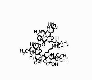 CC(C)C[C@H](NC(=O)[C@@H]1CCCN1C(=O)[C@H](CCCNC(=N)N)NC(=O)[C@H](Cc1c[nH]cn1)NC(=O)CN)C(=O)N[C@@H](CC(=O)O)C(=O)N[C@@H](CCCCN)C(=O)N1CCC(OC(C)(C)C)[C@H]1C(=O)O